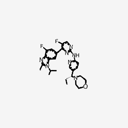 CC[C@H](c1ccc(Nc2ncc(F)c(-c3cc(F)c4nc(C)n(C(C)C)c4c3)n2)nc1)N1CCOCC1